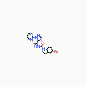 C[C@H](NC(=O)N1CCc2cc(Br)ccc21)c1ncnn1-c1ncccn1